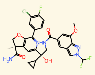 COc1cc(C(=O)NC[C@](O)(c2cc3c(c(-c4ccc(F)c(Cl)c4)n2)OC[C@]3(C)C(N)=O)C2CC2)cc2cn(C(F)F)nc12